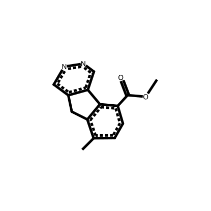 COC(=O)c1ccc(C)c2c1-c1cnncc1C2